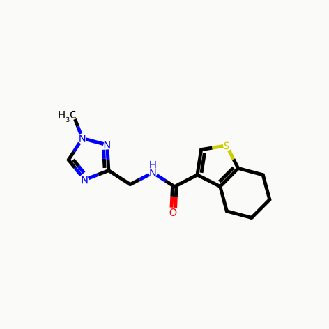 Cn1cnc(CNC(=O)c2csc3c2CCCC3)n1